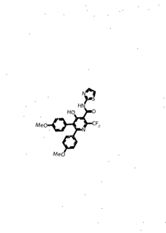 COc1ccc(-c2nc(C(F)(F)F)c(C(=O)Nc3nccs3)c(O)c2-c2ccc(OC)cc2)cc1